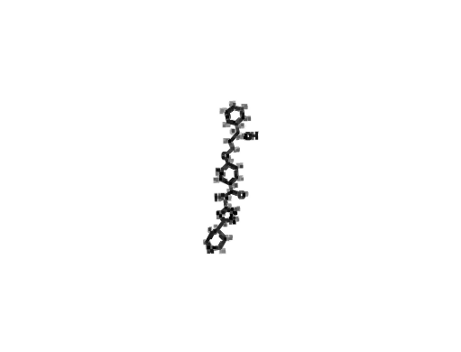 O=C(Nc1nnc(-c2ccncc2)s1)c1ccc(OCC[C@@H](O)c2ccccc2)nc1